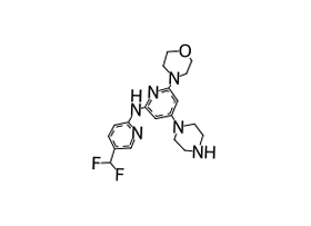 FC(F)c1ccc(Nc2cc(N3CCNCC3)cc(N3CCOCC3)n2)nc1